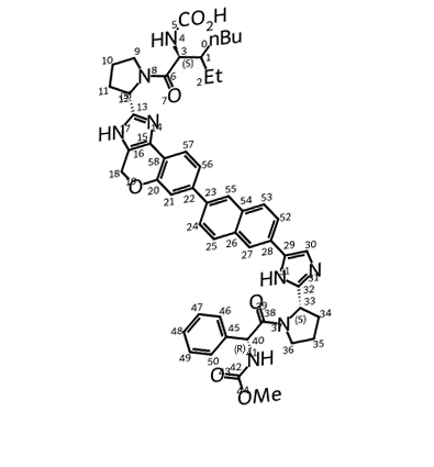 CCCCC(CC)[C@H](NC(=O)O)C(=O)N1CCC[C@H]1c1nc2c([nH]1)COc1cc(-c3ccc4cc(-c5cnc([C@@H]6CCCN6C(=O)[C@H](NC(=O)OC)c6ccccc6)[nH]5)ccc4c3)ccc1-2